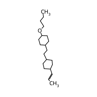 CC=CC1CCC(CCC2CCC(OCCCC)CC2)CC1